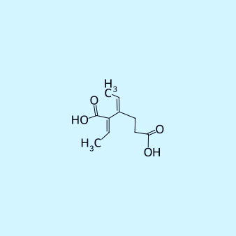 CC=C(CCC(=O)O)C(=CC)C(=O)O